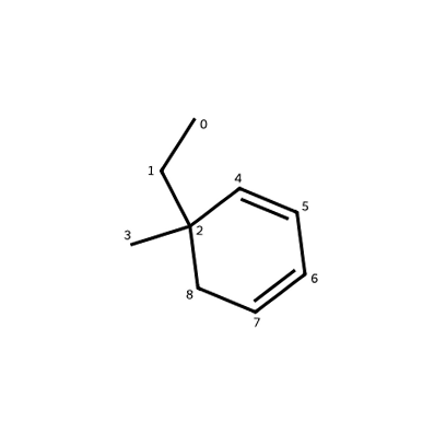 CCC1(C)C=CC=CC1